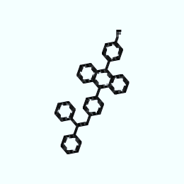 Fc1ccc(-c2c3ccccc3c(-c3ccc(C=C(c4ccccc4)c4ccccc4)cc3)c3ccccc23)cc1